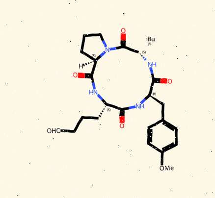 CC[C@H](C)[C@@H]1NC(=O)[C@@H](Cc2ccc(OC)cc2)NC(=O)[C@H](CCCC=O)NC(=O)[C@H]2CCCN2C1=O